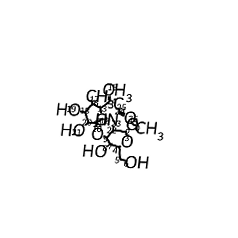 CO[C@@H]1OC(CO)[C@@H](O)C(O[C@@H]2OC(C=O)C(C)C(O)C2O)C1NC(C)=O